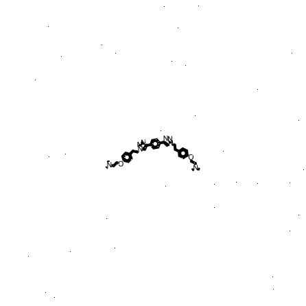 CN(C)CCOc1ccc(CCn2cc(-c3ccc(-c4cn(CCc5ccc(OCCN(C)C)cc5)nn4)cc3)nn2)cc1